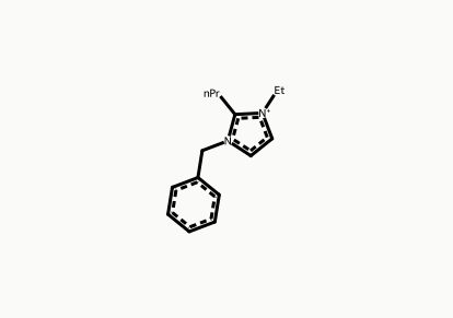 CCCc1n(Cc2ccccc2)cc[n+]1CC